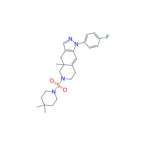 CC1(C)CCN(S(=O)(=O)N2CCC3=Cc4c(cnn4-c4ccc(F)cc4)CC3(C)C2)CC1